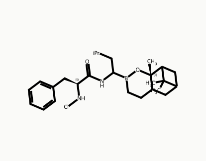 CC(C)CC(NC(=O)[C@H](Cc1ccccc1)NCl)B1CCC2CC3CC(C3(C)C)[C@@]2(C)O1